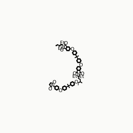 C=C/C(CC)=C(\CC)N1C(=O)c2ccc(Oc3ccc(C(C)(C)c4ccc(Oc5ccc6c(c5)C(=O)N(C(CC)(CC)CCC(C)[C@@H](C)Oc5ccc(C(C)(C)c7ccc(Oc8ccc(N9C(=O)C=CC9=O)cc8)cc7)cc5)C6=O)cc4)cc3)cc2C1=O